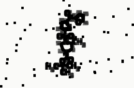 CC1CN(C(=O)OC(C)(C)C)CCN1S(=O)(=O)c1ccc(C(=O)c2ccco2)s1